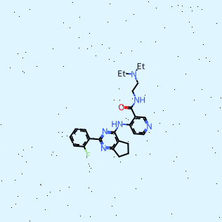 CCN(CC)CCNC(=O)c1cnccc1Nc1nc(-c2ccccc2F)nc2c1CCC2